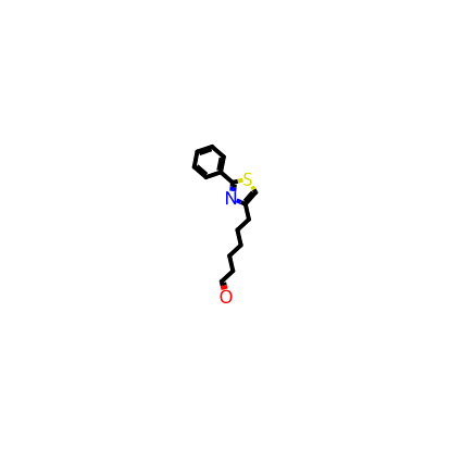 O=CCCCCCc1csc(-c2ccccc2)n1